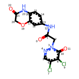 O=C(Cn1ncc(Cl)c(Cl)c1=O)Nc1ccc2c(c1)OCC(=O)N2